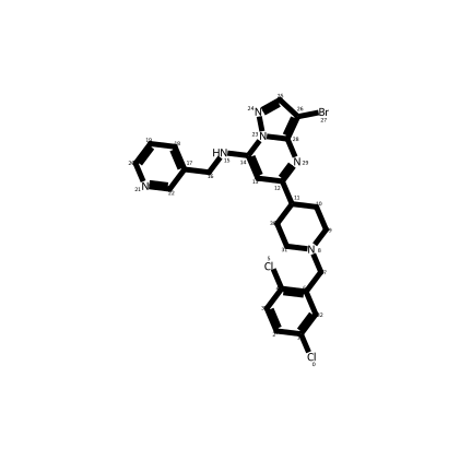 Clc1ccc(Cl)c(CN2CCC(c3cc(NCc4cccnc4)n4ncc(Br)c4n3)CC2)c1